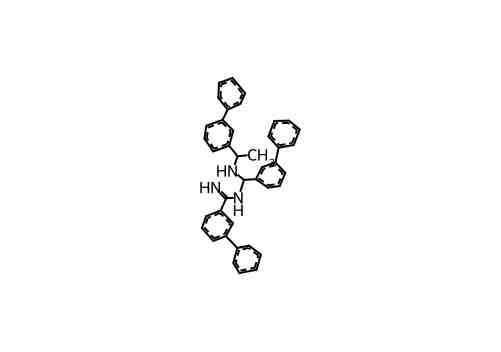 CC(NC(NC(=N)c1cccc(-c2ccccc2)c1)c1cccc(-c2ccccc2)c1)c1cccc(-c2ccccc2)c1